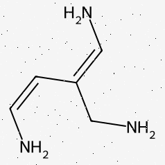 N/C=C\C(=C/N)CN